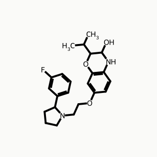 CC(C)C1Oc2cc(OCCN3CCCC3c3cccc(F)c3)ccc2NC1O